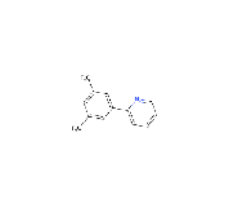 FC(F)(F)c1cc(-c2c[c]ccn2)cc(C(F)(F)F)c1